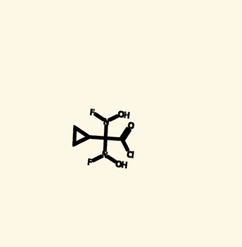 O=C(Cl)C(C1CC1)(N(O)F)N(O)F